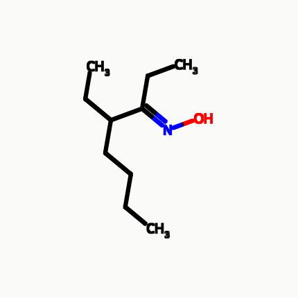 CCCCC(CC)C(CC)=NO